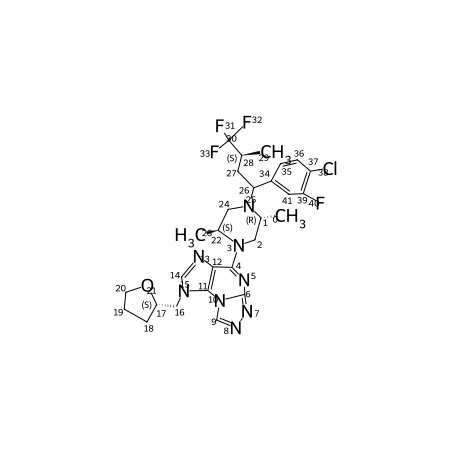 C[C@@H]1CN(c2nc3nncn3c3c2ncn3C[C@@H]2CCCO2)[C@@H](C)CN1C(C[C@H](C)C(F)(F)F)c1ccc(Cl)c(F)c1